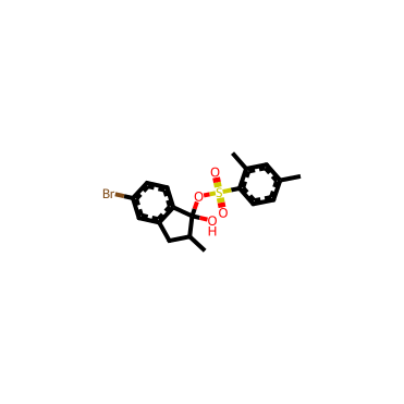 Cc1ccc(S(=O)(=O)OC2(O)c3ccc(Br)cc3CC2C)c(C)c1